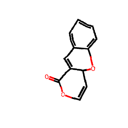 O=C1OC=CC2Oc3ccccc3C=C12